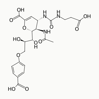 CC(=O)N[C@H]1[C@H]([C@H](O)[C@H](O)COc2ccc(C(=O)O)cc2)OC(C(=O)O)=C[C@@H]1NC(=O)NCCC(=O)O